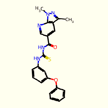 Cc1nn(C)c2ncc(C(=O)NC(=S)Nc3cccc(Oc4ccccc4)c3)cc12